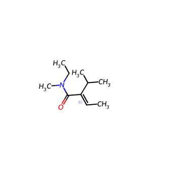 C/C=C(/C(=O)N(C)CC)C(C)C